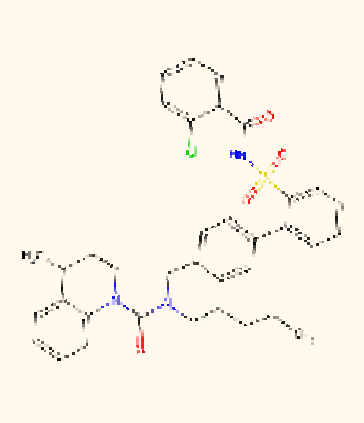 CCCCCN(Cc1ccc(-c2ccccc2S(=O)(=O)NC(=O)c2ccccc2Cl)cc1)C(=O)N1CCC(C)c2ccccc21